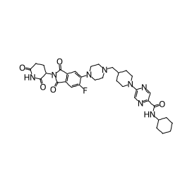 O=C1CCC(N2C(=O)c3cc(F)c(N4CCN(CC5CCN(c6cnc(C(=O)NC7CCCCC7)cn6)CC5)CC4)cc3C2=O)C(=O)N1